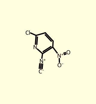 [C-]#[N+]c1nc(Cl)ccc1[N+](=O)[O-]